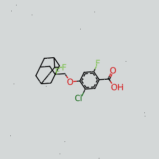 O=C(O)c1cc(Cl)c(OCC23CC4CC(C2)C(F)(F)C(C4)C3)cc1F